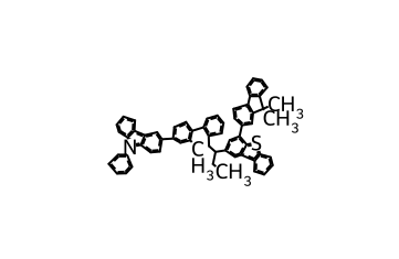 CCC(Cc1ccccc1-c1ccc(-c2ccc3c(c2)c2ccccc2n3-c2ccccc2)cc1C)c1cc(-c2ccc3c(c2)C(C)(C)c2ccccc2-3)c2sc3ccccc3c2c1